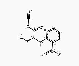 N#COC(=O)[C@H](CO)Nc1ccccc1[N+](=O)[O-]